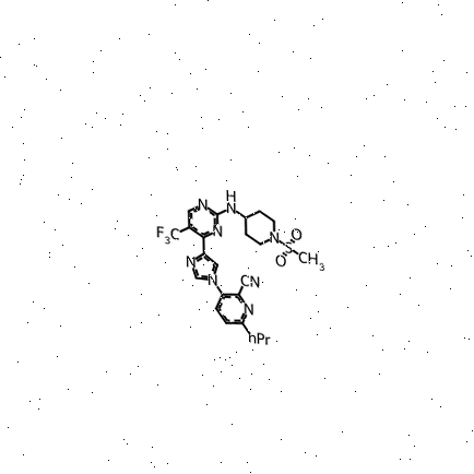 CCCc1ccc(-n2cnc(-c3nc(NC4CCN(S(C)(=O)=O)CC4)ncc3C(F)(F)F)c2)c(C#N)n1